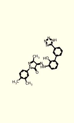 CC1=NN(c2ccc(C)c(C)c2)C(=O)C1=NNc1cccc(-c2cccc(-c3nnn[nH]3)c2)c1O